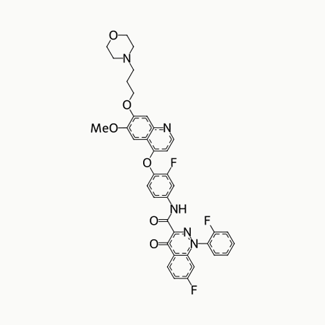 COc1cc2c(Oc3ccc(NC(=O)c4nn(-c5ccccc5F)c5cc(F)ccc5c4=O)cc3F)ccnc2cc1OCCCN1CCOCC1